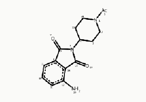 CC(=O)N1CCC(N2C(=O)c3cccc(N)c3C2=O)CC1